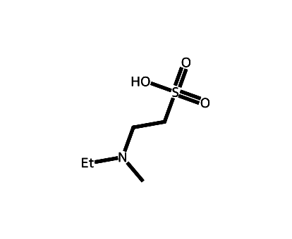 CCN(C)CCS(=O)(=O)O